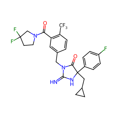 N=C1NC(CC2CC2)(c2ccc(F)cc2)C(=O)N1Cc1ccc(C(F)(F)F)c(C(=O)N2CCC(F)(F)C2)c1